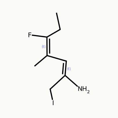 CC/C(F)=C(C)\C=C(\N)CI